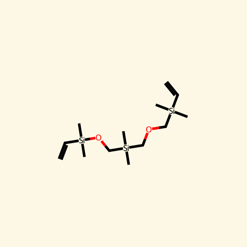 C=C[Si](C)(C)COC[Si](C)(C)CO[Si](C)(C)C=C